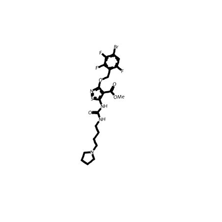 COC(=O)c1c(OCc2c(F)cc(Br)c(F)c2F)nsc1NC(=O)NCCCCN1CCCC1